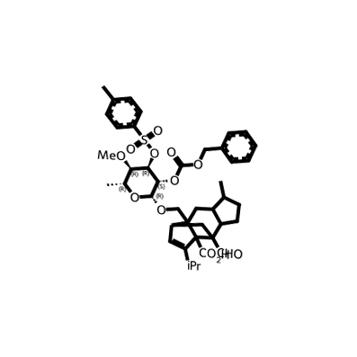 CO[C@H]1[C@@H](OS(=O)(=O)c2ccc(C)cc2)[C@H](OC(=O)OCc2ccccc2)[C@H](OCC23CC4C(C)CCC4C4(C=O)CC2C=C(C(C)C)C43C(=O)O)O[C@@H]1C